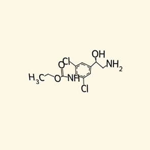 CCOC(=O)Nc1c(Cl)cc([C@@H](O)CN)cc1Cl